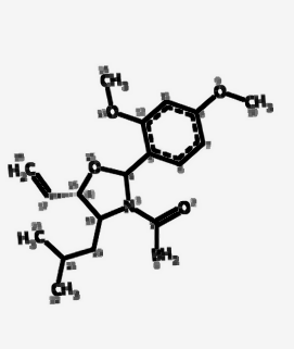 BC(=O)N1C(c2ccc(OC)cc2OC)O[C@@H](C=C)C1CC(C)C